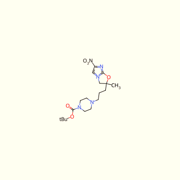 CC(C)(C)OC(=O)N1CCN(CCCC2(C)Cn3cc([N+](=O)[O-])nc3O2)CC1